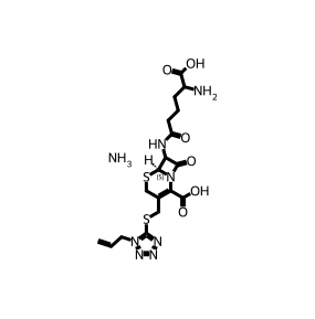 C=CCn1nnnc1SCC1=C(C(=O)O)N2C(=O)C(NC(=O)CCCC(N)C(=O)O)[C@@H]2SC1.N